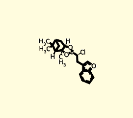 CC1(C)C2C[C@H]3OB([C@H](Cl)Cc4coc5ccccc45)O[C@@]3(C)[C@H]1C2